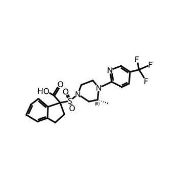 C[C@@H]1CN(S(=O)(=O)C2(C(=O)O)CCc3ccccc32)CCN1c1ccc(C(F)(F)F)cn1